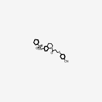 N#Cc1ccc(SCCC(=O)N2CCCc3cc(NS(=O)(=O)c4ccccc4)ccc32)cc1